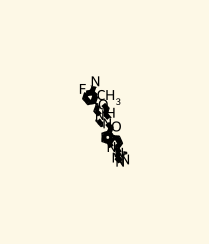 Cc1c([C@@H]2CN3CCN(C(=O)C4CCc5nc(-n6cnnn6)ccc54)C[C@H]3CO2)ccc(F)c1C#N